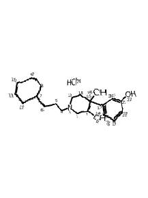 CC1CN(CCCC2CCCCC2)CCC1(C)c1cccc(O)c1.Cl